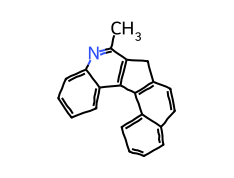 Cc1nc2ccccc2c2c1Cc1ccc3ccccc3c1-2